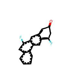 O=C1C=c2cc3c(F)cc4ccccc4c3cc2=C(F)C1